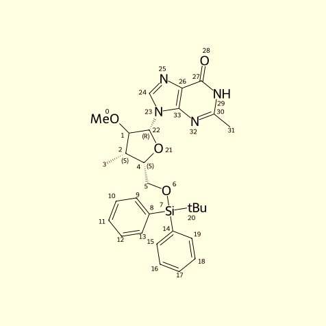 COC1[C@@H](C)[C@@H](CO[Si](c2ccccc2)(c2ccccc2)C(C)(C)C)O[C@H]1n1cnc2c(=O)[nH]c(C)nc21